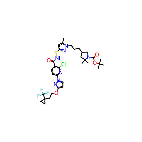 Cc1cc(SNC(=O)c2ccc(-n3ccc(OCCC4(C(F)(F)F)CC4)n3)nc2Cl)nn1CCCC1CN(C(=O)OC(C)(C)C)C(C)(C)C1